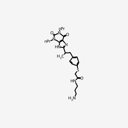 CCCn1c(=O)c2nc(C(C)Cc3ccc(SCC(=O)NCCCN)cc3)[nH]c2n(CCC)c1=O